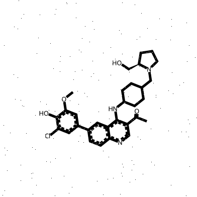 COc1cc(-c2ccc3ncc(C(C)=O)c(NC4CCC(CN5CCC[C@@H]5CO)CC4)c3c2)cc(Cl)c1O